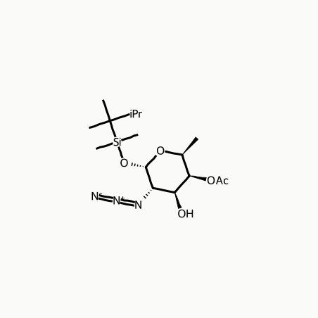 CC(=O)O[C@H]1[C@@H](O)[C@H](N=[N+]=[N-])[C@H](O[Si](C)(C)C(C)(C)C(C)C)O[C@H]1C